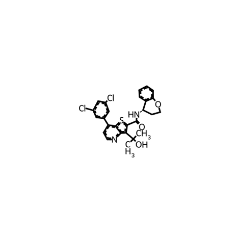 CC(C)(O)c1c(C(=O)N[C@H]2CCOc3ccccc32)sc2c(-c3cc(Cl)cc(Cl)c3)ccnc12